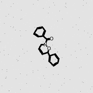 O=C(c1ccccc1)N1CC=CC(c2ccccc2)O1